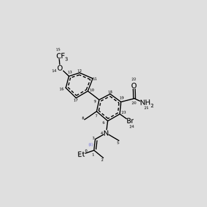 CC/C(C)=C/N(C)c1c(C)c(-c2ccc(OC(F)(F)F)cc2)cc(C(N)=O)c1Br